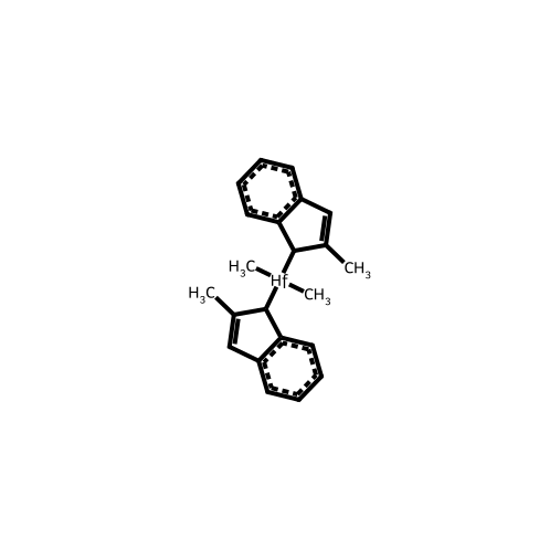 CC1=Cc2ccccc2[CH]1[Hf]([CH3])([CH3])[CH]1C(C)=Cc2ccccc21